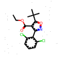 CCOC(=O)c1c(-c2c(Cl)cccc2Cl)noc1C(C)(C)C